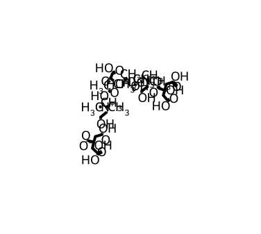 CC(=O)C(=O)O.CC(=O)O.CC(=O)O.CO.C[N+](C)(C)CCO.C[N+](C)(C)CCO.O=C(O)CC(O)(CC(=O)O)C(=O)[O-].O=C(O)CC(O)(CC(=O)O)C(=O)[O-]